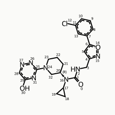 O=C(NCc1cc(-c2cccc(Cl)c2)on1)N(C1CC1)[C@@H]1CCCN(c2nncc(O)n2)C1